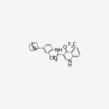 O=C(Nc1ccc(N2CC3CCC2CC3)cc1C(F)(F)F)c1c[nH]c2cccc(C(F)(F)F)c2c1=O